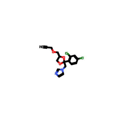 C#CCOCC1COC(Cn2ccnc2)(c2ccc(Cl)cc2Cl)O1